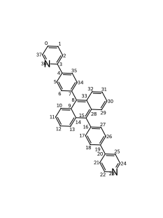 c1ccc(-c2ccc(-c3c4ccccc4c(-c4ccc(-c5ccncc5)cc4)c4ccccc34)cc2)nc1